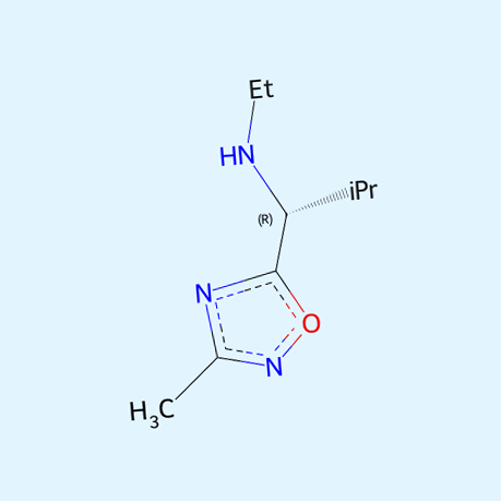 CCN[C@@H](c1nc(C)no1)C(C)C